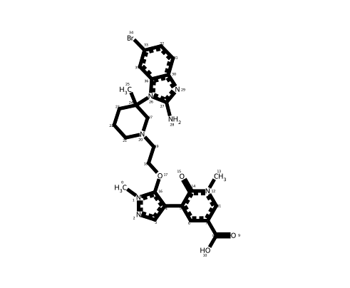 Cn1ncc(-c2cc(C(=O)O)cn(C)c2=O)c1OCCN1CCCC(C)(n2c(N)nc3ccc(Br)cc32)C1